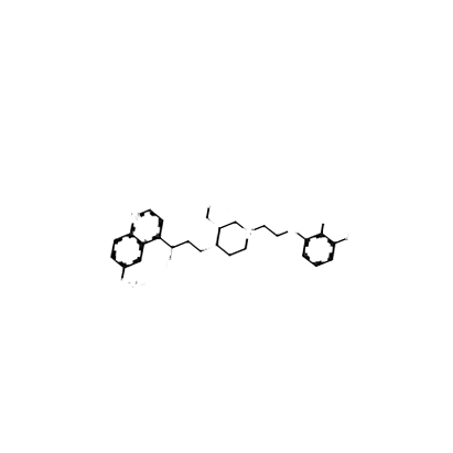 COc1ccc2nccc([C@H](F)CC[C@@H]3CCN(CCSc4cccc(F)c4F)C[C@@H]3CC(=O)O)c2c1